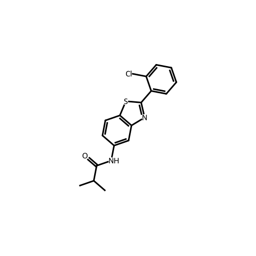 CC(C)C(=O)Nc1ccc2sc(-c3ccccc3Cl)nc2c1